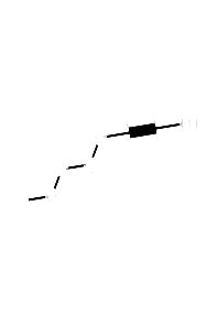 FOOOOC#CP